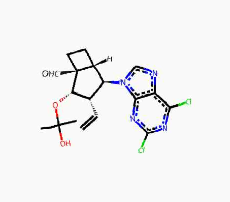 C=C[C@H]1[C@H](n2cnc3c(Cl)nc(Cl)nc32)[C@H]2CC[C@@]2(C=O)[C@H]1OC(C)(C)O